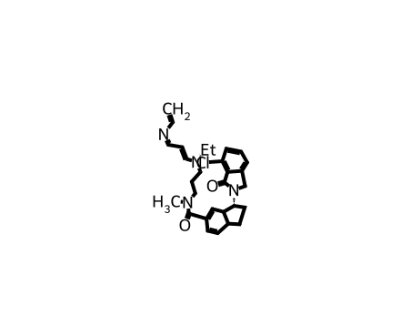 C=C/N=C\C=C\N(CC)CCCN(C)C(=O)C1=CC2C(C=C1)CC[C@H]2N1Cc2cccc(Cl)c2C1=O